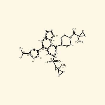 COC1(C(=O)N2CC=C(c3cc(S(=O)(=O)NC4(C)CC4)cc4c(-c5nnc(C(F)F)s5)nc5ccnn5c34)CC2)CC1